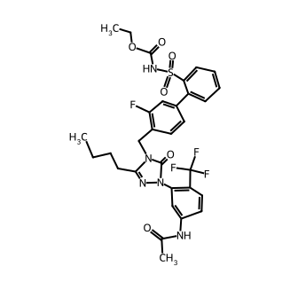 CCCCc1nn(-c2cc(NC(C)=O)ccc2C(F)(F)F)c(=O)n1Cc1ccc(-c2ccccc2S(=O)(=O)NC(=O)OCC)cc1F